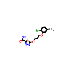 NC(=O)c1nnc(OCCCOc2cc(C(F)(F)F)ccc2Br)s1